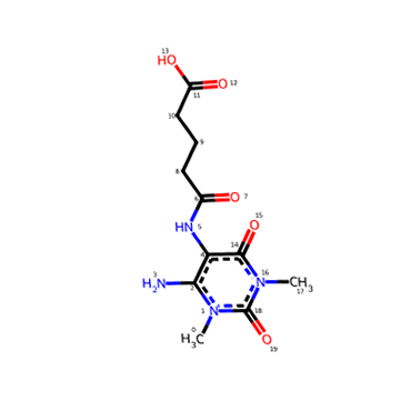 Cn1c(N)c(NC(=O)CCCC(=O)O)c(=O)n(C)c1=O